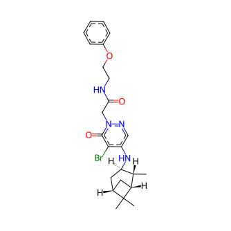 C[C@@H]1[C@H]2C[C@@H](C[C@H]1Nc1cnn(CC(=O)NCCOc3ccccc3)c(=O)c1Br)C2(C)C